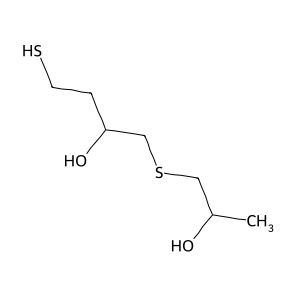 CC(O)CSCC(O)CCS